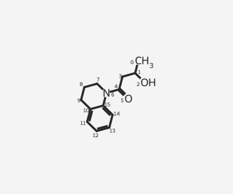 CC(O)CC(=O)N1CCCc2ccccc21